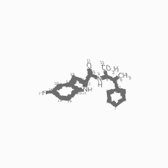 CC(c1ccccc1)C(NC(=O)c1cc2cc(F)ccc2[nH]1)C(=O)O